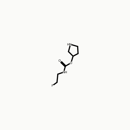 O=C(NCCF)OC1CCNC1